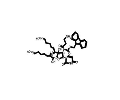 CCCCCCCCCCCCCCCC(=O)C(O)[C@H]1O[C@@H](n2ccc(=O)[nH]c2=O)[C@H](N(C(=O)CCN)C(=O)OCC2c3ccccc3-c3ccccc32)[C@@]1(O)C(=O)CCCCCCCCCCCCCCC